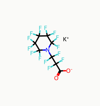 O=C([O-])C(F)(F)C(F)(F)N1C(F)(F)C(F)(F)C(F)(F)C(F)(F)C1(F)F.[K+]